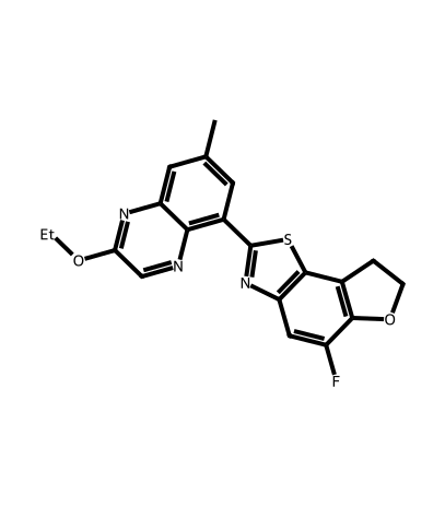 CCOc1cnc2c(-c3nc4cc(F)c5c(c4s3)CCO5)cc(C)cc2n1